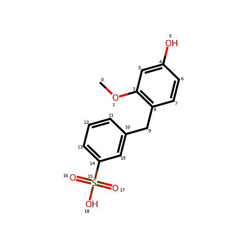 COc1cc(O)ccc1Cc1cccc(S(=O)(=O)O)c1